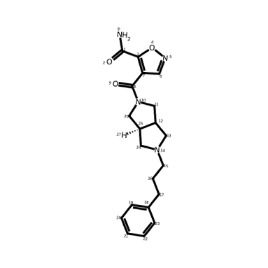 NC(=O)c1oncc1C(=O)N1CC2CN(CC[CH]c3ccccc3)C[C@H]2C1